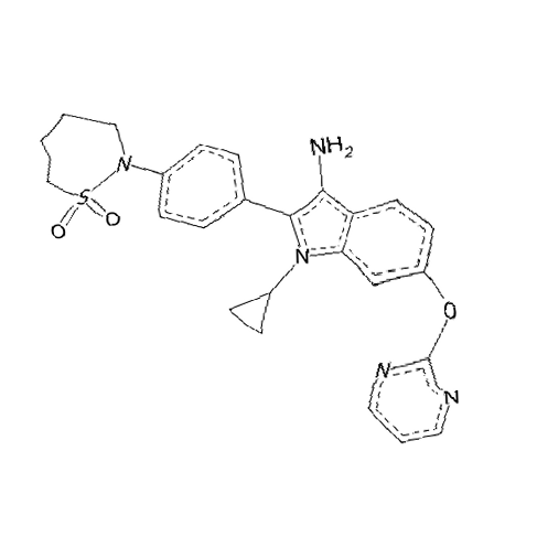 Nc1c(-c2ccc(N3CCCCS3(=O)=O)cc2)n(C2CC2)c2cc(Oc3ncccn3)ccc12